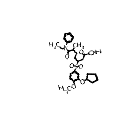 CCN(C(=O)C(C)CCC(CC(=O)O)S(=O)(=O)c1ccc(OC)c(OC2CCCC2)c1)c1ccccc1